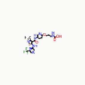 Cc1nsc(Nc2cncc(C(F)(F)F)n2)c1C(=O)Nc1ccc(OCCCNC(=O)O)nc1